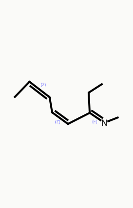 C\C=C/C=C\C(CC)=N\C